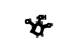 O=C1CCC=C(Cl)[C@H]1O